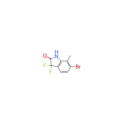 Cc1c(Br)ccc2c1NC(=O)C2(F)F